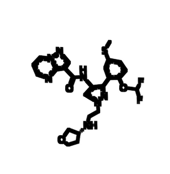 CSc1ccc(OC(F)F)c(-c2nn(CCN[C@@H]3CCOC3)cc2NC(=O)c2cnn3cccnc23)c1